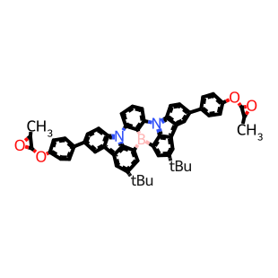 CC1OC1Oc1ccc(-c2ccc3c(c2)c2cc(C(C)(C)C)cc4c2n3-c2cccc3c2B4c2cc(C(C)(C)C)cc4c5cc(-c6ccc(OC7OC7C)cc6)ccc5n-3c24)cc1